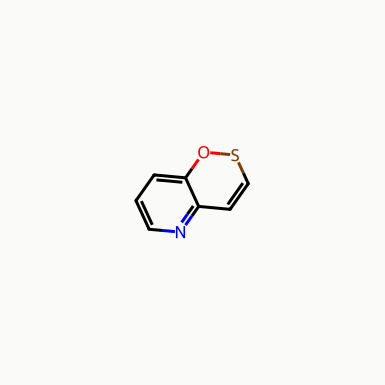 C1=Cc2ncccc2OS1